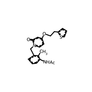 CC(=O)Nc1cccc(Cn2ccc(OCCc3cccs3)cc2=O)c1C